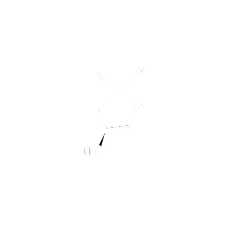 C[C@@H]1COS(=O)(=O)C1